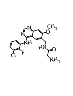 COc1cc2ncnc(Nc3cccc(Cl)c3F)c2cc1CNC(=O)CN